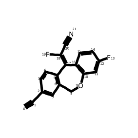 C#Cc1ccc2c(c1)COc1cc(F)ccc1/C2=C(/F)C#N